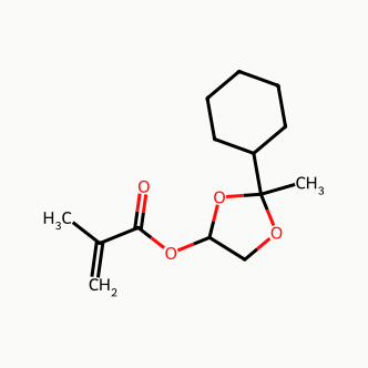 C=C(C)C(=O)OC1COC(C)(C2CCCCC2)O1